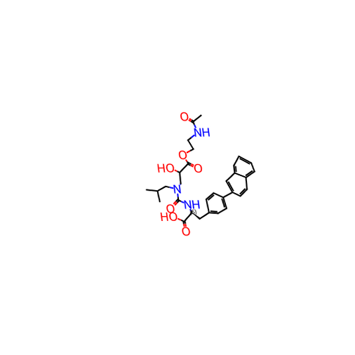 CC(=O)NCCOC(=O)C(O)CN(CC(C)C)C(=O)N[C@@H](Cc1ccc(-c2ccc3ccccc3c2)cc1)C(=O)O